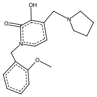 COc1ccccc1Cn1ccc(CN2CCCC2)c(O)c1=O